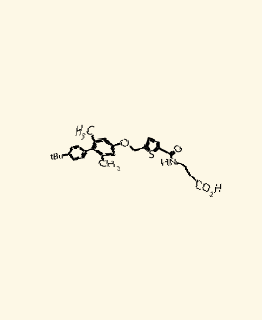 Cc1cc(OCc2ccc(C(=O)NCCC(=O)O)s2)cc(C)c1-c1ccc(C(C)(C)C)cc1